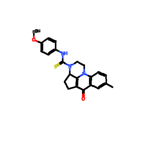 CCCCOc1ccc(NC(=S)N2CCn3c4c(c(=O)c5cc(C)ccc53)CCC42)cc1